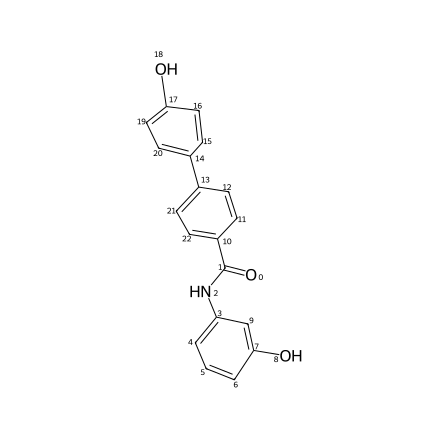 O=C(Nc1cccc(O)c1)c1ccc(-c2ccc(O)cc2)cc1